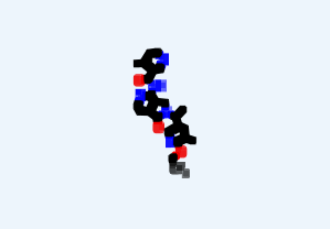 Cc1ccncc1C(=O)Nc1nccc2c1CN(C(C)c1cnc(OCC(F)(F)F)c(C)c1)C2=O